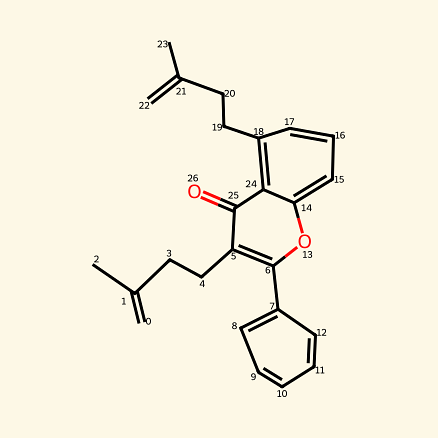 C=C(C)CCc1c(-c2ccccc2)oc2cccc(CCC(=C)C)c2c1=O